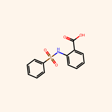 O=C(O)c1ccccc1NS(=O)(=O)c1ccccc1